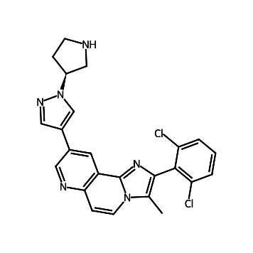 Cc1c(-c2c(Cl)cccc2Cl)nc2c3cc(-c4cnn([C@H]5CCNC5)c4)cnc3ccn12